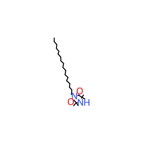 CCCCCCCCCCCCCCCCCCN1C(=O)C(C)(C)NC(C)(C)C1=O